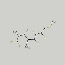 N#CSCC(F)C(F)C(F)C(C(F)C(C(F)F)C(F)(F)F)C(F)(F)F